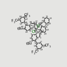 CC1=Cc2c(ccc(C(C)(C)C)c2-c2cc(C(F)(F)F)cc(C(F)(F)F)c2)[CH]1[Zr]([Cl])([Cl])([c]1cccc2c1[SiH2]c1ccccc1-2)[CH]1C(C)=Cc2c1ccc(C(C)(C)C)c2-c1cc(C(F)(F)F)cc(C(F)(F)F)c1